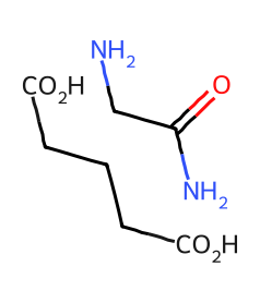 NCC(N)=O.O=C(O)CCCC(=O)O